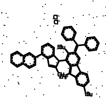 CC1=Cc2c(-c3ccc4ccccc4c3)cccc2C1c1c(C(C)(C)C)c(=C(c2ccccc2)c2ccccc2)cc2c1=[C]([Zr+2])c1cc(C(C)(C)C)ccc1-2.[Cl-].[Cl-]